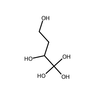 OCCC(O)C(O)(O)O